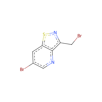 BrCc1nsc2cc(Br)cnc12